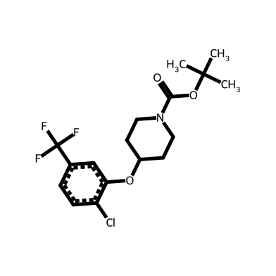 CC(C)(C)OC(=O)N1CCC(Oc2cc(C(F)(F)F)ccc2Cl)CC1